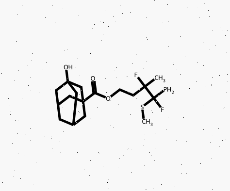 CSC(F)(P)C(C)(F)CCOC(=O)C12CC3CC(CC(O)(C3)C1)C2